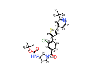 CC(C)(C)OC(=O)NC1CCN(C(=O)c2ccc(-c3csc(-c4ccnc(C(C)(C)C)c4)c3)c(Cl)c2)C1